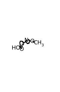 CCOc1ccc(C2=CCCN(C(=O)O)C2)nc1